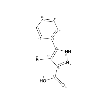 O=C(O)c1n[nH]c(-c2ccccc2)c1Br